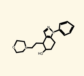 OC1CCc2c(cnn2-c2ccccc2)C1CCN1CCOCC1